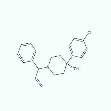 C=CC(c1ccccc1)N1CCC(O)(c2ccc(Cl)cc2)CC1